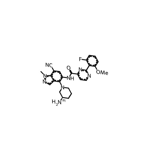 COc1cccc(F)c1-c1nccc(C(=O)Nc2cc(C#N)c3c(cnn3C)c2N2CCC[C@@H](N)C2)n1